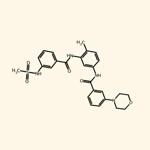 Cc1ccc(NC(=O)c2cccc(N3CCOCC3)c2)cc1NC(=O)c1cccc(NS(C)(=O)=O)c1